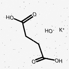 O=C(O)CCC(=O)O.[K+].[OH-]